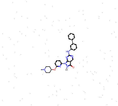 CCn1c(=O)c2cnc(Nc3cccc(-c4ccccc4)c3)nc2n1-c1cccc(OC2CCN(C)CC2)n1